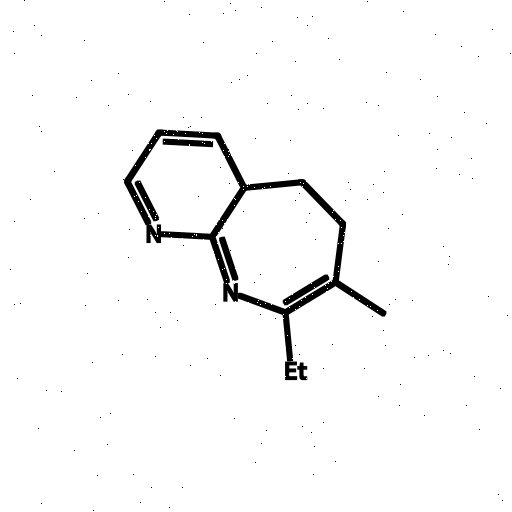 CCC1=C(C)CCC2C=CC=NC2=N1